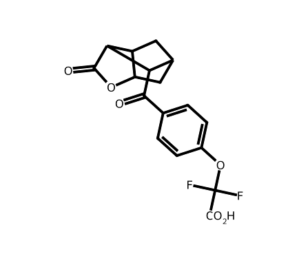 O=C(c1ccc(OC(F)(F)C(=O)O)cc1)C1C2CC3OC(=O)C1C3C2